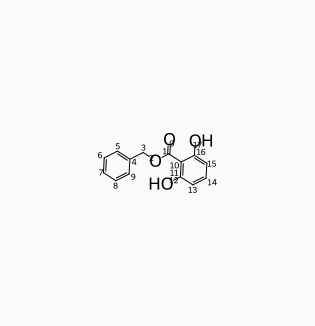 O=C(OCc1ccccc1)c1c(O)cccc1O